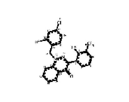 O=c1c(-c2cccc(C(F)(F)F)c2F)nn(Cc2ccc(Cl)cc2F)c2ccccc12